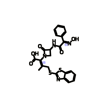 C/C(CSc1nc2ccccc2s1)=C(\C(=O)O)N1CC(NC(=O)/C(=N/O)c2ccccc2)C1=O